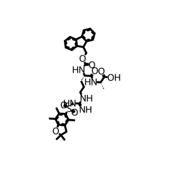 Cc1c(C)c(S(=O)(=O)NC(=N)NCCC[C@H](NC(=O)OCC2c3ccccc3-c3ccccc32)C(=O)N[C@@H](C)C(=O)O)c(C)c2c1OC(C)(C)C2